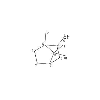 [CH2]CC1CC2CCC1(C)C2(C)C